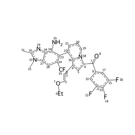 CCOC=Cc1cc(C(=O)c2cc(F)c(F)c(F)c2)n2cccc(-c3c(C(F)(F)F)cc4c(nc(C)n4C)c3N)c12